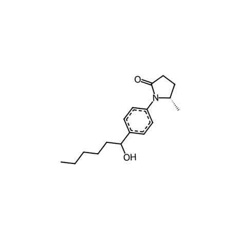 CCCCCC(O)c1ccc(N2C(=O)CC[C@@H]2C)cc1